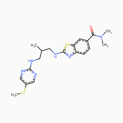 CSc1cnc(NCC(C)CNc2nc3ccc(C(=O)N(C)C)cc3s2)nc1